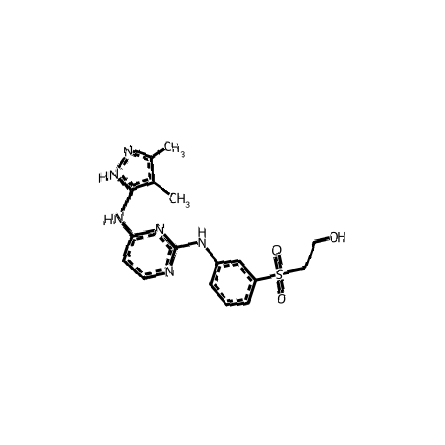 Cc1n[nH]c(Nc2ccnc(Nc3cccc(S(=O)(=O)CCO)c3)n2)c1C